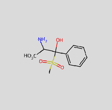 CS(=O)(=O)C(O)(c1ccccc1)C(N)C(=O)O